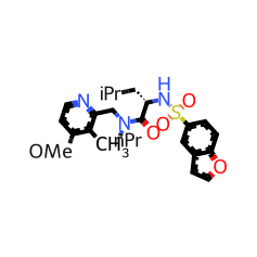 CCCN(Cc1nccc(OC)c1C)C(=O)[C@H](CC(C)C)NS(=O)(=O)c1ccc2occc2c1